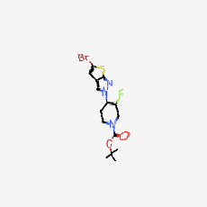 CC(C)(C)OC(=O)N1CC[C@@H](n2cc3cc(Br)sc3n2)[C@@H](F)C1